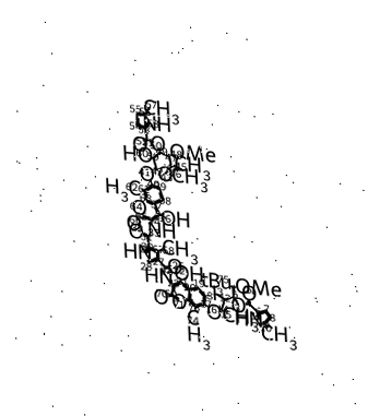 CO[C@H](C(OC(=O)c1ccc(C)[nH]1)C(I)[C@@H](C)Oc1ccc2c(O)c(NC(=O)c3c[nH]c(C(=O)Nc4c(O)c5ccc(O[C@@H]6OC(C)(C)[C@H](OC)C(OC(=O)c7ccc(C)[nH]7)[C@@H]6O)c(C)c5oc4=O)c3C)c(=O)oc2c1C)C(C)(C)C